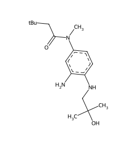 CN(C(=O)CC(C)(C)C)c1ccc(NCC(C)(C)O)c(N)c1